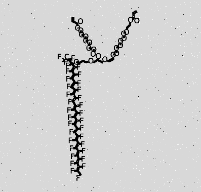 C=CC(=O)OCCOOOOOOOO/C=C\OCC(COCCCOC(F)(/C(F)=C(F)/C(F)=C(F)/C(F)=C(F)/C(F)=C(F)/C(F)=C(F)/C(F)=C(F)/C(F)=C(F)/C(F)=C(F)/C(F)=C(F)/C(F)=C(F)/C(F)=C(F)/C(F)=C(F)/C(F)=C(F)/C(F)=C(\F)CF)C(F)(F)C(F)(F)F)OOOOOOOOOOC(=O)C=C